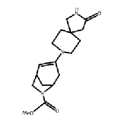 COC(=O)N1CC2C=C(N3CCC4(CC3)CNC(=O)C4)CC1C2